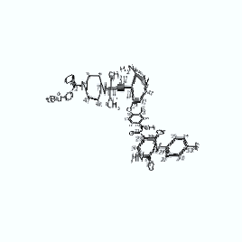 CC(C)(C)OC(=O)N1CCN(C(C)(C)C#Cc2c(Oc3ccc(NC(=O)c4c[nH]c(=O)n(-c5ccc(F)cc5)c4=O)cc3F)ccnc2N)CC1